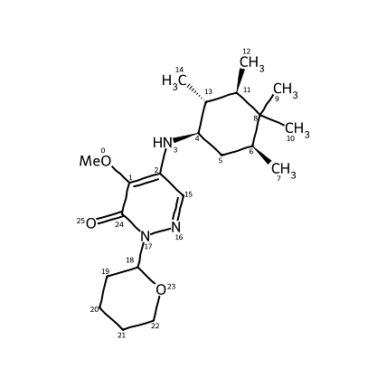 COc1c(N[C@@H]2C[C@H](C)C(C)(C)[C@H](C)[C@H]2C)cnn(C2CCCCO2)c1=O